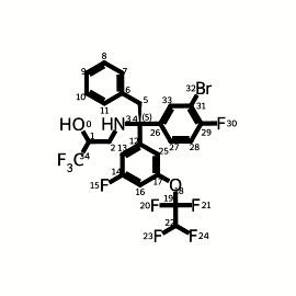 OC(CN[C@@](Cc1ccccc1)(c1cc(F)cc(OC(F)(F)C(F)F)c1)c1ccc(F)c(Br)c1)C(F)(F)F